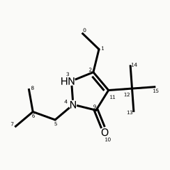 CCc1[nH]n(CC(C)C)c(=O)c1C(C)(C)C